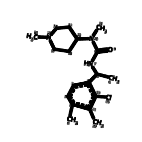 Cc1ccc(C(C)NC(=O)N(C)C2CCN(C)CC2)c(Cl)c1C